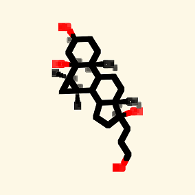 C[C@]12CCC3C(C1CC[C@@]2(O)CCCO)[C@H]1C[C@H]1[C@]1(O)C[C@@H](O)CC[C@]31C